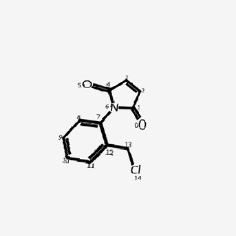 O=C1C=CC(=O)N1c1ccccc1CCl